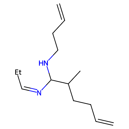 C=CCCNC(/N=C\CC)C(C)CCC=C